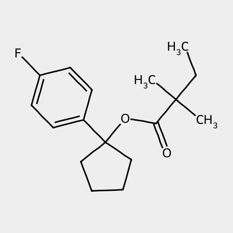 CCC(C)(C)C(=O)OC1(c2ccc(F)cc2)CCCC1